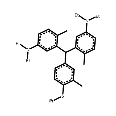 CCN(CC)c1ccc(C)c(C(c2ccc(SC(C)C)c(C)c2)c2cc(N(CC)CC)ccc2C)c1